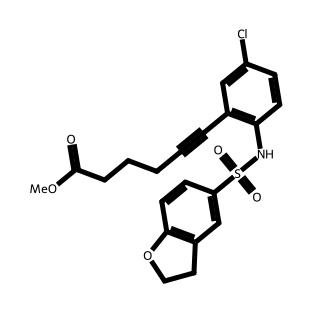 COC(=O)CCCC#Cc1cc(Cl)ccc1NS(=O)(=O)c1ccc2c(c1)CCO2